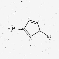 CCn1c[c]c(N)n1